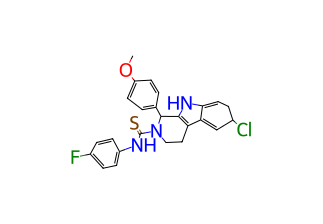 COc1ccc(C2c3[nH]c4c(c3CCN2C(=S)Nc2ccc(F)cc2)=CC(Cl)CC=4)cc1